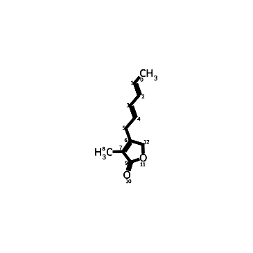 C/C=C/C=C/CC1=C(C)C(=O)OC1